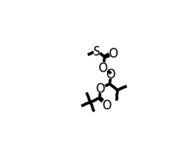 CSC(=O)OOC(OC(=O)C(C)(C)C)C(C)C